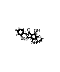 O=C1c2c(c(O)c3nccnc3c2O)C(=O)N1c1ccccc1Br